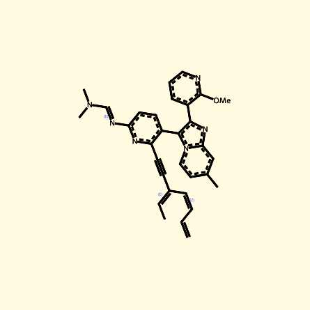 C=C/C=C\C(C#Cc1nc(/N=C/N(C)C)ccc1-c1c(-c2cccnc2OC)nc2cc(C)ccn12)=C/C